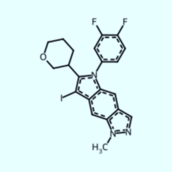 Cn1ncc2cc3c(cc21)c(I)c(C1CCCOC1)n3-c1ccc(F)c(F)c1